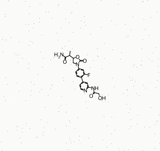 CC(C(N)=O)C1CN(c2ccc(-c3ccnc(NC(=O)CO)c3)c(F)c2)C(=O)O1